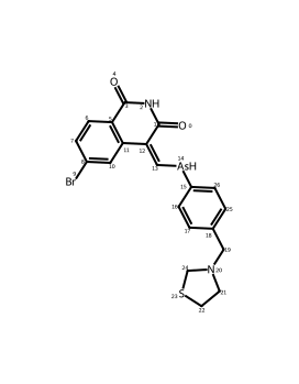 O=C1NC(=O)c2ccc(Br)cc2/C1=C/[AsH]c1ccc(CN2CCSC2)cc1